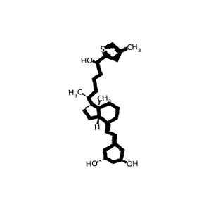 Cc1csc([C@H](O)CCC[C@@H](C)[C@H]2CC[C@H]3/C(=C/C=C4C[C@@H](O)C[C@H](O)C4)CCC[C@]23C)c1